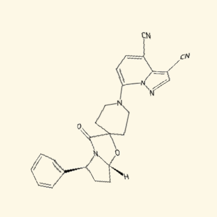 N#Cc1ccc(N2CCC3(CC2)O[C@@H]2CC[C@@H](c4ccccc4)N2C3=O)n2ncc(C#N)c12